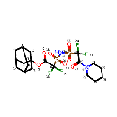 O=C(OC12CC3CC(CC(C3)C1)C2)C(F)(F)S(=O)(=O)NS(=O)(=O)C(F)(F)C(=O)N1CCCCC1